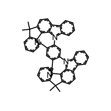 CC1(C)c2ccccc2-c2c1ccc1c3ccccc3n(-c3cc(-n4c5ccccc5c5ccc6c(c54)-c4ccccc4C6(C)C)c(C#N)cc3C#N)c21